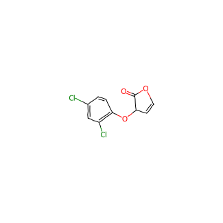 O=C1OC=CC1Oc1ccc(Cl)cc1Cl